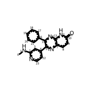 CNc1cc(-c2nc3ccc(=O)[nH]c3nc2-c2ccccc2)ccn1